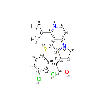 CC(C)c1nccc2c1c(Sc1ccc(Cl)c(Cl)c1)c1n2CC[C@H]1CC=O